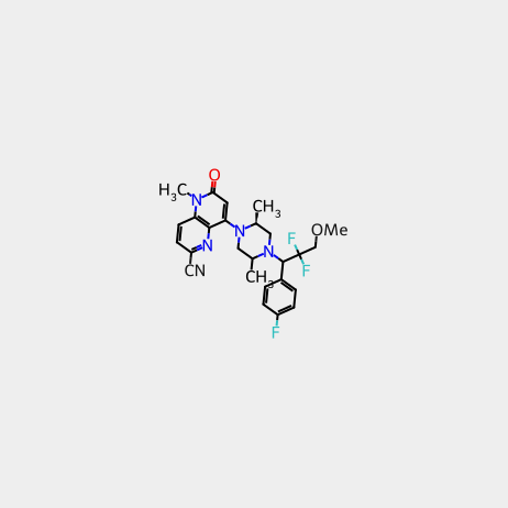 COCC(F)(F)C(c1ccc(F)cc1)N1C[C@H](C)N(c2cc(=O)n(C)c3ccc(C#N)nc23)CC1C